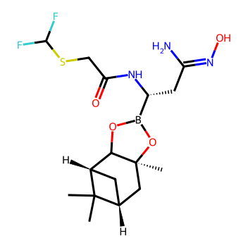 CC1(C)[C@@H]2C[C@H]1C1OB([C@@H](C/C(N)=N/O)NC(=O)CSC(F)F)O[C@@]1(C)C2